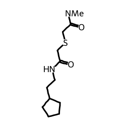 CNC(=O)CSCC(=O)NCCC1CCCC1